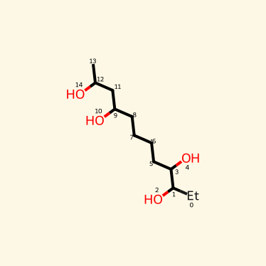 CCC(O)C(O)C[CH]CCC(O)CC(C)O